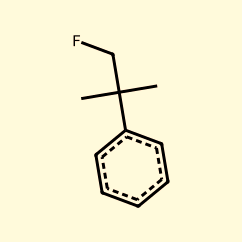 CC(C)(CF)c1ccccc1